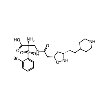 N[C@](CNC(=O)C[C@H]1C[C@H](CCC2CCNCC2)NO1)(C(=O)O)S(=O)(=O)c1ccccc1Br